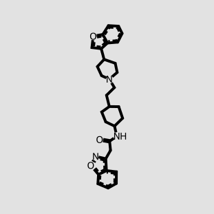 O=C(Cc1noc2ccccc12)NC1CCC(CCN2CCC(c3coc4ccccc34)CC2)CC1